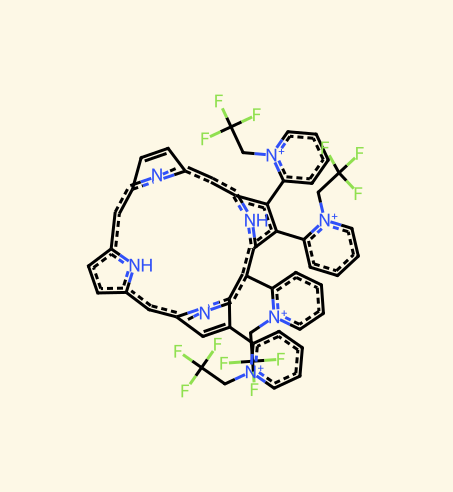 FC(F)(F)C[n+]1ccccc1C1=Cc2cc3ccc(cc4nc(cc5[nH]c(c(-c6cccc[n+]6CC(F)(F)F)c1n2)c(-c1cccc[n+]1CC(F)(F)F)c5-c1cccc[n+]1CC(F)(F)F)C=C4)[nH]3